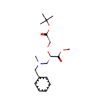 COC(=O)[C@@H](CN(C)Cc1ccccc1)OCC(=O)OC(C)(C)C